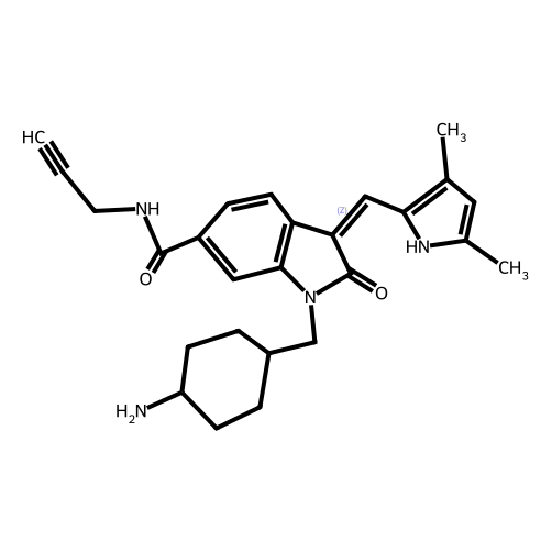 C#CCNC(=O)c1ccc2c(c1)N(CC1CCC(N)CC1)C(=O)/C2=C\c1[nH]c(C)cc1C